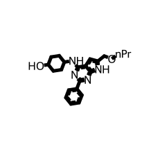 CCCOCc1cc2c(NC3CCC(O)CC3)nc(-c3ccccc3)nc2[nH]1